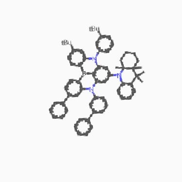 CC(C)(C)c1cccc(N2c3cc(C(C)(C)C)ccc3B3c4ccc(-c5ccccc5)cc4N(c4cccc(-c5ccccc5)c4)c4cc(N5c6ccccc6C(C)(C)C6(C)CCCCC56C)cc2c43)c1